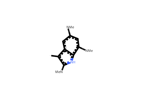 [CH2]c1c(NC)[nH]c2c(NC)cc(NC)cc12